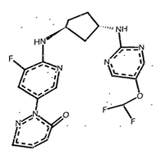 O=c1cccnn1-c1cnc(N[C@H]2CC[C@H](Nc3ncc(OC(F)F)cn3)C2)c(F)c1